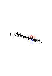 CCCCCCCCCCCC(O)NCCC